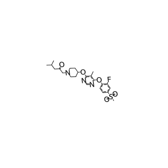 Cc1c(Oc2ccc(S(C)(=O)=O)cc2F)ncnc1OC1CCN(CC(=O)CC(C)C)CC1